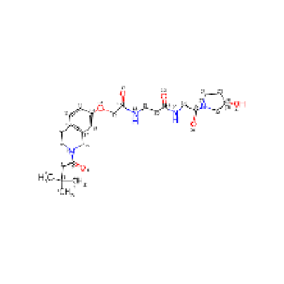 CC(C)(C)CC(=O)N1CCc2ccc(OCC(=O)NCCC(=O)NCC(=O)N3CC[C@@H](O)C3)cc2C1